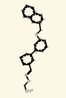 O=C(O)CO/N=C/c1cccc(-c2cccc(OCc3ccc4ccccc4c3)c2)c1